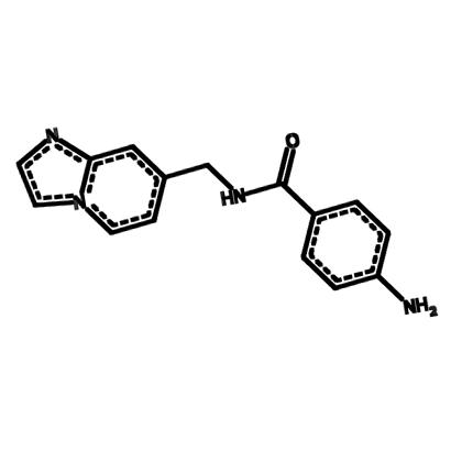 Nc1ccc(C(=O)NCc2ccn3ccnc3c2)cc1